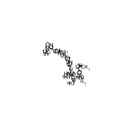 Cc1ncsc1-c1ccc([C@H](C)NC(=O)[C@@H]2C[C@@H](O)CN2C(=O)[C@@H](NC(=O)COc2cnc(N3CCN(CC(=O)Nc4cn5cc(-c6cnc7c(c6)N(C(=O)OC(C)C)CCO7)ncc5n4)CC3)nc2)C(C)(C)C)cc1